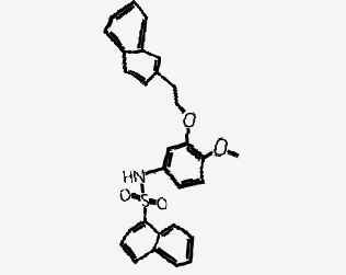 COc1ccc(NS(=O)(=O)c2cccc3ccccc23)cc1OCCc1ccc2ccccc2c1